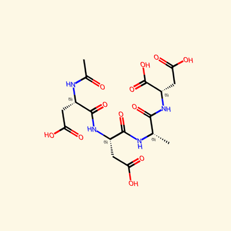 CC(=O)N[C@@H](CC(=O)O)C(=O)N[C@@H](CC(=O)O)C(=O)N[C@@H](C)C(=O)N[C@@H](CC(=O)O)C(=O)O